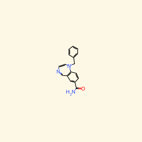 NC(=O)c1ccc2c(c1)C=NC=CN2Cc1ccccc1